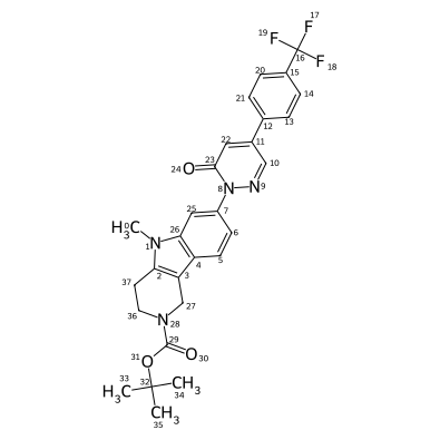 Cn1c2c(c3ccc(-n4ncc(-c5ccc(C(F)(F)F)cc5)cc4=O)cc31)CN(C(=O)OC(C)(C)C)CC2